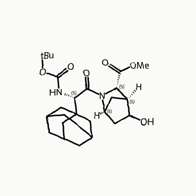 COC(=O)[C@@H]1[C@@H]2C[C@@H](CC2O)N1C(=O)[C@@H](NC(=O)OC(C)(C)C)C12CC3CC(CC(C3)C1)C2